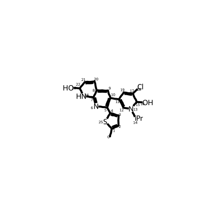 Cc1ccc(-c2nc3c(cc2C2=CN(C(C)C)C(O)C(Cl)=C2)C=CC(O)N3)s1